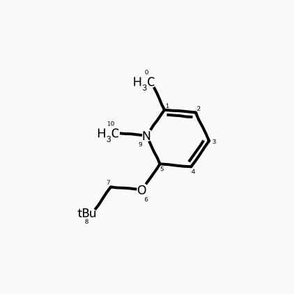 CC1=CC=CC(OCC(C)(C)C)N1C